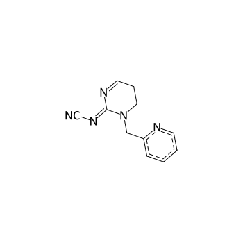 N#CN=C1N=CCCN1Cc1ccccn1